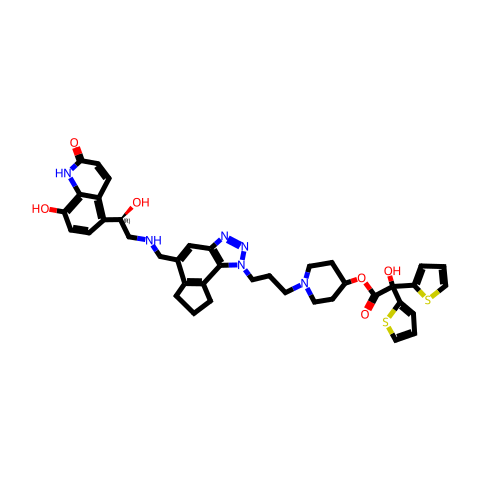 O=C(OC1CCN(CCCn2nnc3cc(CNC[C@H](O)c4ccc(O)c5[nH]c(=O)ccc45)c4c(c32)CCC4)CC1)C(O)(c1cccs1)c1cccs1